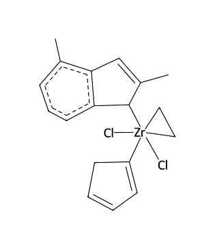 CC1=Cc2c(C)cccc2[CH]1[Zr]1([Cl])([Cl])([C]2=CC=CC2)[CH2][CH2]1